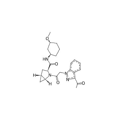 CO[C@H]1CCC[C@@H](NC(=O)[C@@H]2C[C@H]3C[C@H]3N2C(=O)Cn2nc(C(C)=O)c3ccccc32)C1